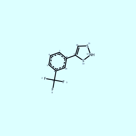 FC(F)(F)c1cccc(C2=CSNS2)c1